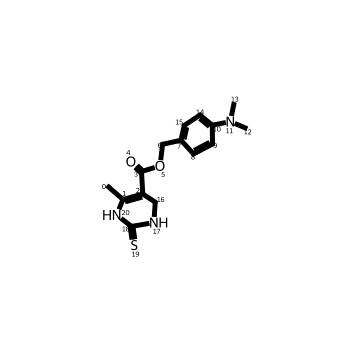 CC1=C(C(=O)OCc2ccc(N(C)C)cc2)CNC(=S)N1